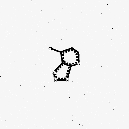 Clc1ccnc2nnsc12